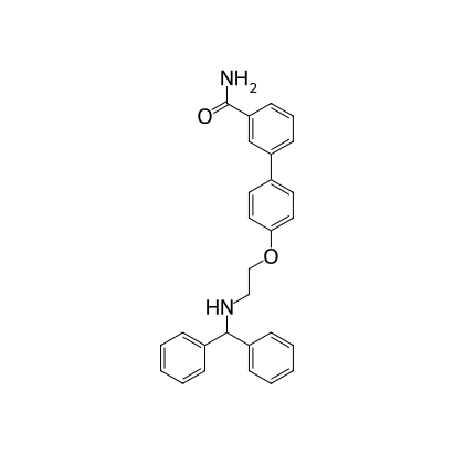 NC(=O)c1cccc(-c2ccc(OCCNC(c3ccccc3)c3ccccc3)cc2)c1